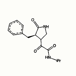 CC(C)NC(=O)C(=O)C1CNC(=O)[C@@H]1Cc1ccccc1